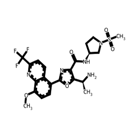 COc1ccc(-c2nc(C(=O)N[C@H]3CCN(S(C)(=O)=O)C3)c([C@H](C)N)o2)c2ccc(C(F)(F)F)nc12